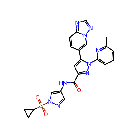 Cc1cccc(-n2nc(C(=O)Nc3cnn(S(=O)(=O)C4CC4)c3)cc2-c2ccc3ncnn3c2)n1